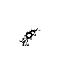 CC(=O)c1cc2ccc(O[Si](C)(C)C(C)(C)C)cc2s1